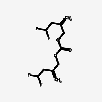 C=C(COC(=O)OCC(=C)CC(F)F)CC(F)F